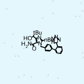 CCCCc1nc(C(O)C(C)(C)C)c(C(N)=O)n1Cc1ccc(-c2ccccc2C2N=NN=N2)cc1